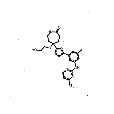 Cc1cc(Nc2nccc(C(F)(F)F)n2)cc(-c2cnc(C3(OCCO)CCNC(=O)CC3)s2)c1